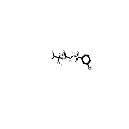 CC(NC(=O)NNS(=O)(=O)c1cccc(C#N)c1)(C(F)F)C(F)(F)F